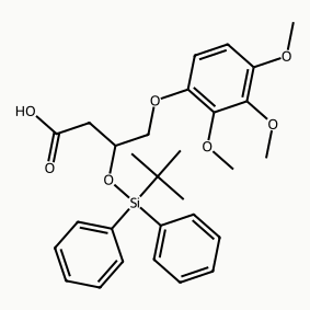 COc1ccc(OCC(CC(=O)O)O[Si](c2ccccc2)(c2ccccc2)C(C)(C)C)c(OC)c1OC